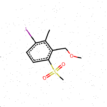 COCc1c(S(C)(=O)=O)ccc(I)c1C